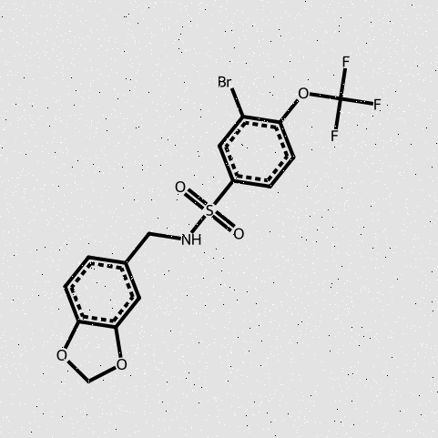 O=S(=O)(NCc1ccc2c(c1)OCO2)c1ccc(OC(F)(F)F)c(Br)c1